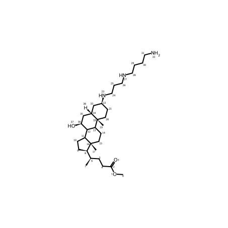 COC(=O)CC[C@@H](C)[C@H]1CCC2C3C(CC[C@@]21C)[C@@]1(C)CC[C@H](NCCCNCCCCN)C[C@H]1C[C@@H]3O